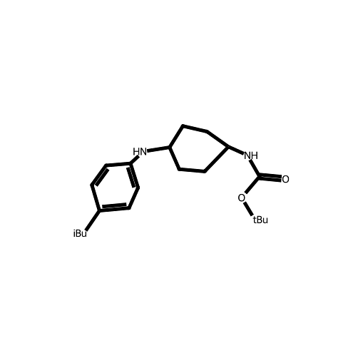 CCC(C)c1ccc(NC2CCC(NC(=O)OC(C)(C)C)CC2)cc1